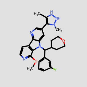 COc1nccc2c3ncc(C4=C(C)NNN4C)cc3n(C(c3cccc(F)c3)C3CCOCC3)c12